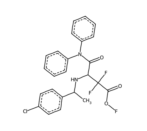 CC(NC(C(=O)N(c1ccccc1)c1ccccc1)C(F)(F)C(=O)OF)c1ccc(Cl)cc1